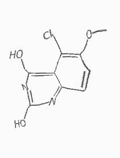 COc1ccc2nc(O)nc(O)c2c1Cl